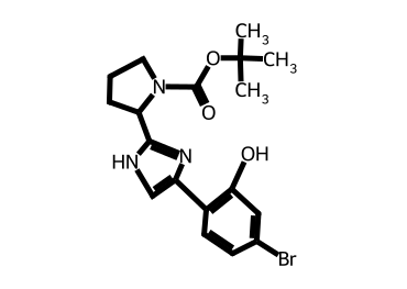 CC(C)(C)OC(=O)N1CCCC1c1nc(-c2ccc(Br)cc2O)c[nH]1